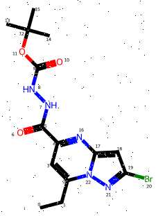 CCc1cc(C(=O)NNC(=O)OC(C)(C)C)nc2cc(Br)nn12